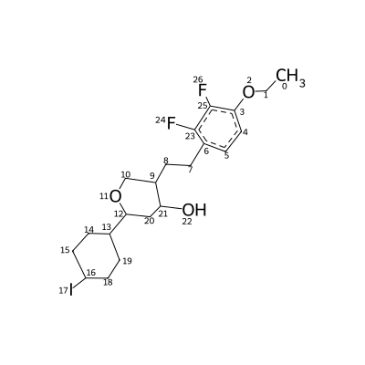 CCOc1ccc(CCC2COC(C3CCC(I)CC3)CC2O)c(F)c1F